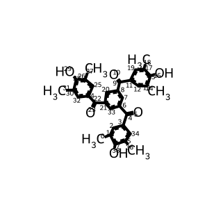 Cc1cc(C(=O)c2cc(C(=O)c3cc(C)c(O)c(C)c3)cc(C(=O)c3cc(C)c(O)c(C)c3)c2)cc(C)c1O